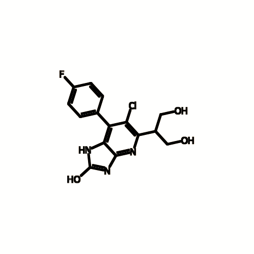 OCC(CO)c1nc2nc(O)[nH]c2c(-c2ccc(F)cc2)c1Cl